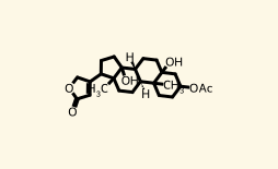 CC(=O)OC1CCC2(C)[C@H]3CCC4(C)C(C5=CC(=O)OC5)CCC4(O)[C@@H]3CCC2(O)C1